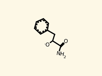 NC(=O)C([O])Cc1ccccc1